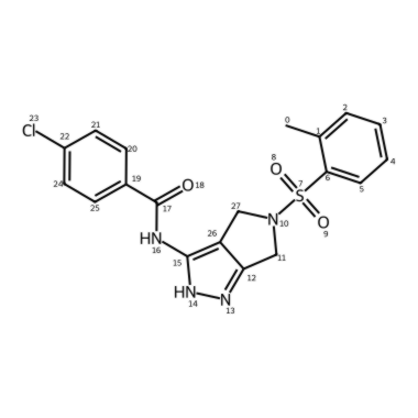 Cc1ccccc1S(=O)(=O)N1Cc2n[nH]c(NC(=O)c3ccc(Cl)cc3)c2C1